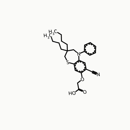 CCCCC1(CCCC)CSc2cc(OCC(=O)O)c(C#N)cc2N(c2ccccc2)C1